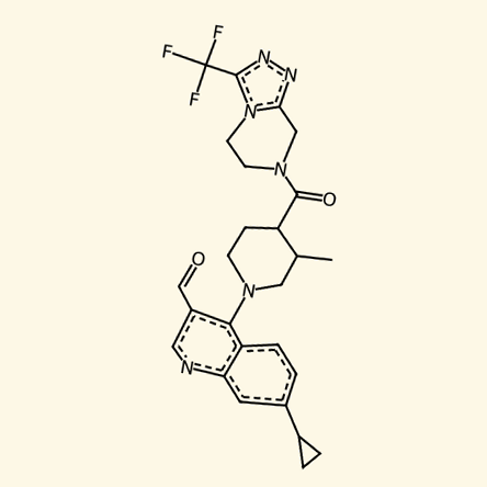 CC1CN(c2c(C=O)cnc3cc(C4CC4)ccc23)CCC1C(=O)N1CCn2c(nnc2C(F)(F)F)C1